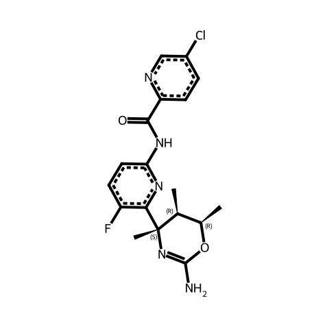 C[C@H]1OC(N)=N[C@](C)(c2nc(NC(=O)c3ccc(Cl)cn3)ccc2F)[C@H]1C